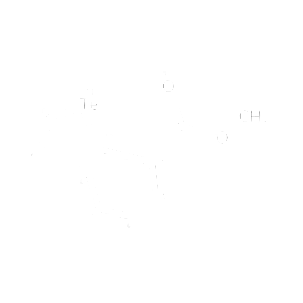 COC(=O)c1cccc2cc[te]c12